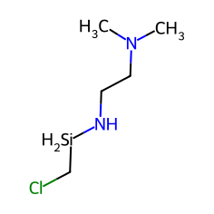 CN(C)CCN[SiH2]CCl